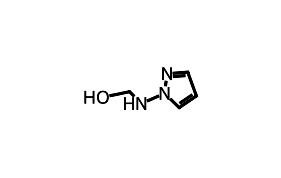 OCNn1cccn1